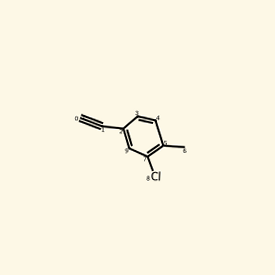 [C]#Cc1ccc(C)c(Cl)c1